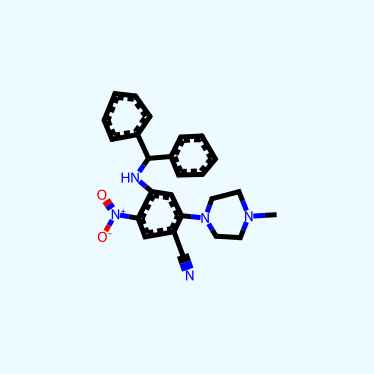 CN1CCN(c2cc(NC(c3ccccc3)c3ccccc3)c([N+](=O)[O-])cc2C#N)CC1